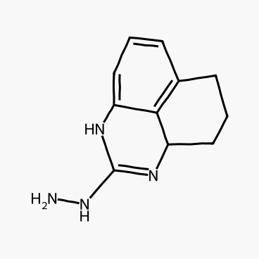 NNC1=NC2CCCc3cccc(c32)N1